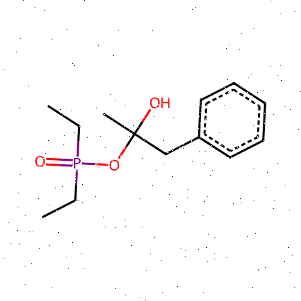 CCP(=O)(CC)OC(C)(O)Cc1ccccc1